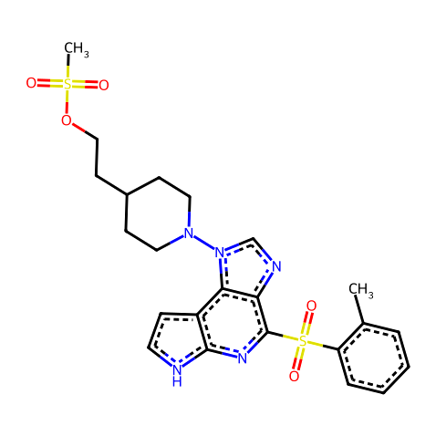 Cc1ccccc1S(=O)(=O)c1nc2[nH]ccc2c2c1ncn2N1CCC(CCOS(C)(=O)=O)CC1